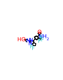 NC1(c2ccc(-c3nc(N4CC(O)C4)nc4c3CCC4(F)F)cc2C(F)(F)F)COC1